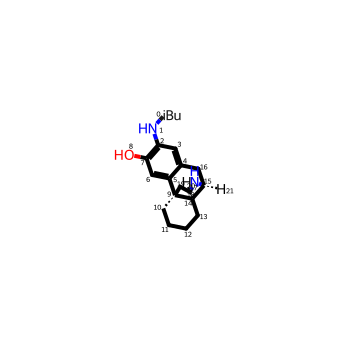 CCC(C)Nc1cc2c(cc1O)[C@]13CCCC[C@@H]1[C@H](C2)NCC3